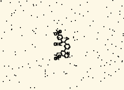 CC(Cc1cc(-c2cccc(C(C3CC3)C(C=O)c3ccc(S(C)(=O)=O)cc3)c2)c2ncccc2c1)S(C)(=O)=O